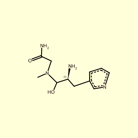 CN(CC(N)=O)C(O)[C@@H](N)Cc1cccnc1